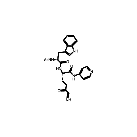 CC(=O)N[C@@H](Cc1c[nH]c2ccccc12)C(=O)N[C@@H](CCC(=O)C=N)C(=O)Nc1ccncc1